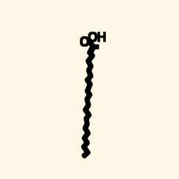 CCCCCCCCCCCCCCCCCCCCCC/C=C(\C)C(=O)O